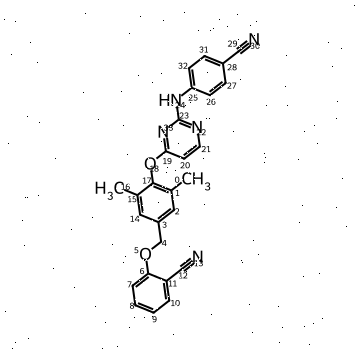 Cc1cc(COc2ccccc2C#N)cc(C)c1Oc1ccnc(Nc2ccc(C#N)cc2)n1